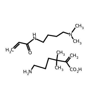 C=C(C(=O)O)C(C)(C)CCCN.C=CC(=O)NCCCCN(C)C